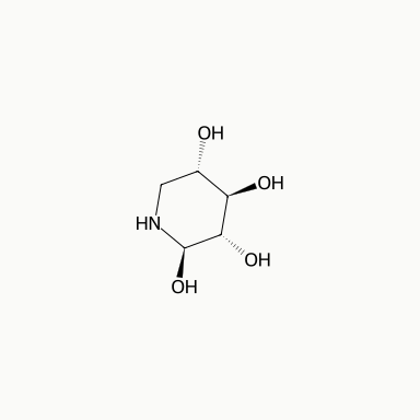 O[C@H]1[C@H](O)[C@@H](O)NC[C@@H]1O